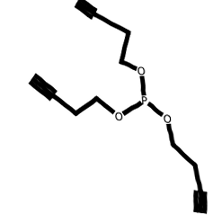 C#CCCOP(OCCC#C)OCCC#C